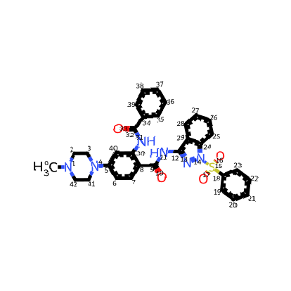 CN1CCN(c2ccc(C(=O)Nc3nn(S(=O)(=O)c4ccccc4)c4ccccc34)c(NC(=O)c3ccccc3)c2)CC1